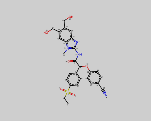 CCS(=O)(=O)c1ccc(C(Oc2ccc(C#N)cc2)C(=O)Nc2nc3cc(CO)c(CO)cc3n2C)cc1